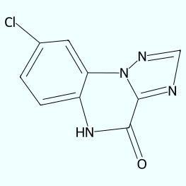 O=c1[nH]c2ccc(Cl)cc2n2ncnc12